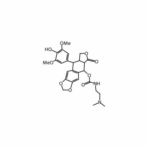 COc1cc(C2c3cc4c(cc3C(OC(=O)NCCN(C)C)C3C(=O)OCC23)OCO4)cc(OC)c1O